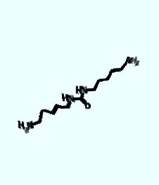 NCCCCCNC(=O)NCCCCCN